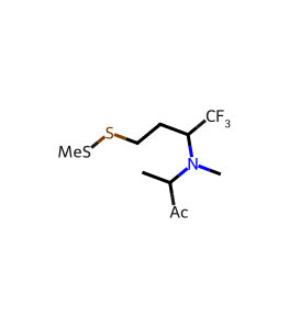 CSSCCC(N(C)C(C)C(C)=O)C(F)(F)F